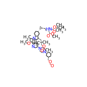 CCn1c(-c2cc(N3CCN(c4cccc(COC=O)c4)CC3)cnc2[C@H](C)OC)c(CC(C)(C)COC(C)=O)c2cc([C@@H]3C[C@H]3CC[C@H](NC(=O)OC(C)(C)C)C(=O)OC)ccc21